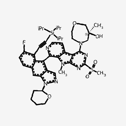 CC(C)[Si](C#Cc1c(F)ccc2cc3c(cnn3C3CCCCO3)c(-c3nccc4c5c(N6CCOC[C@@](C)(O)C6)nc(S(C)(=O)=O)nc5n(C)c34)c12)(C(C)C)C(C)C